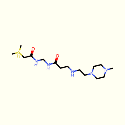 CN1CCN(CCNCCC(=O)NCNC(=O)C[SH](C)C)CC1